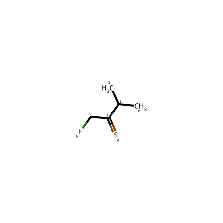 CC(C)C(=S)CF